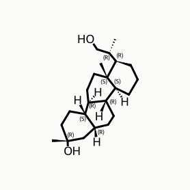 C[C@@H](CO)[C@H]1CCC[C@H]2[C@@H]3CC[C@@H]4C[C@](C)(O)CC[C@@H]4[C@H]3CC[C@]12C